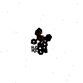 CC1(C)c2ccccc2C2(c3ccccc3-c3cc4c5ccccc5n(-c5cc(-c6ccccc6)cc(-c6ccccc6)c5)c4cc32)c2cc(-c3nc(-c4ccccc4)nc(-c4ccccc4)n3)ccc21